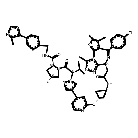 Cc1ncsc1-c1ccc(CNC(=O)[C@@H]2C[C@@H](C)CN2C(=O)[C@@H](C(C)C)n2cc(-c3ccnc(O[C@H]4C[C@H](NC(=O)C[C@@H]5N=C(c6ccc(Cl)cc6)c6c(sc(C)c6C)-n6c(C)nnc65)C4)c3)cn2)cc1